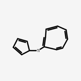 C1=CC=C[C]([Ti][CH]2C=CC=C2)=CC=C1